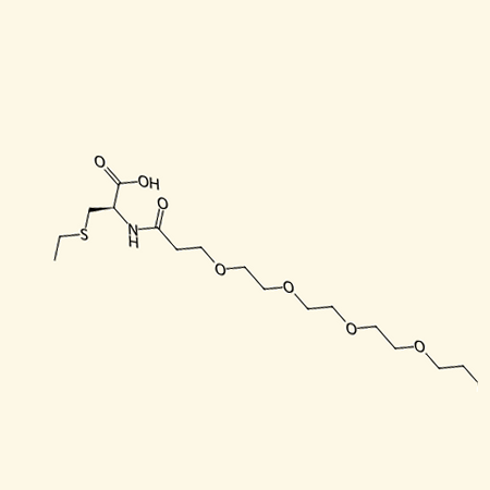 CCSC[C@H](NC(=O)CCOCCOCCOCCOCCNC)C(=O)O